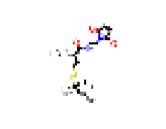 CC(=O)CCC(C)(C)SSCCC(C(=O)NCCN1C(=O)C=CC1=O)S(=O)(=O)O